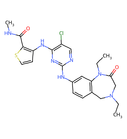 CCN1CC(=O)N(CC)c2cc(Nc3ncc(Cl)c(Nc4ccsc4C(=O)NC)n3)ccc2C1